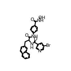 O=C(NO)c1ccc(NC(=O)C(Cc2ccc3ccccc3c2)NC(=O)c2cncc(Br)c2)cc1